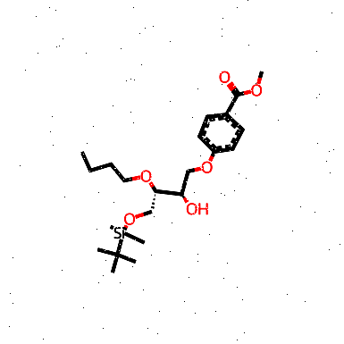 CCCCO[C@@H](CO[Si](C)(C)C(C)(C)C)[C@H](O)COc1ccc(C(=O)OC)cc1